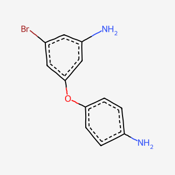 Nc1ccc(Oc2cc(N)cc(Br)c2)cc1